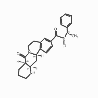 C[C@H](c1ccccc1)N(Cl)C(=O)c1ccc2c(c1)CCN1C(=O)[C@@H]3CCCN[C@@H]3C[C@@H]21